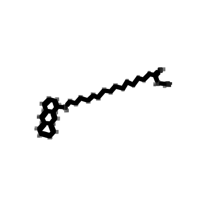 CC(C)OC(=O)CCCCCCCCCCCCCCCOc1cccc2cc3ccccc3cc12